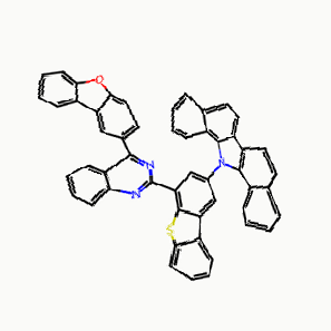 c1ccc2c(c1)ccc1c3ccc4ccccc4c3n(-c3cc(-c4nc(-c5ccc6oc7ccccc7c6c5)c5ccccc5n4)c4sc5ccccc5c4c3)c21